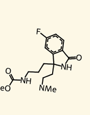 CNCCC1(CCCNC(=O)OC)NC(=O)c2ccc(F)cc21